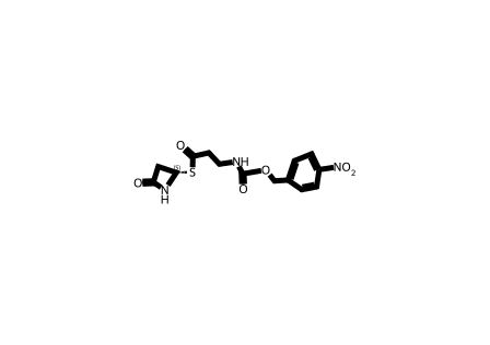 O=C1C[C@H](SC(=O)CCNC(=O)OCc2ccc([N+](=O)[O-])cc2)N1